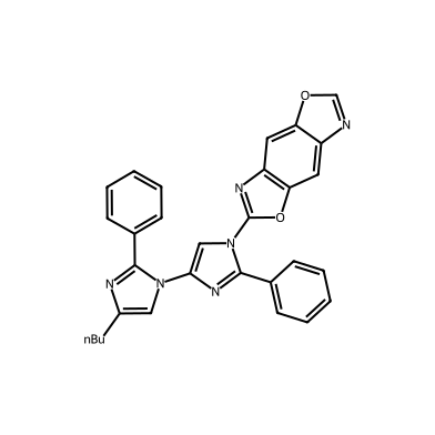 CCCCc1cn(-c2cn(-c3nc4cc5ocnc5cc4o3)c(-c3ccccc3)n2)c(-c2ccccc2)n1